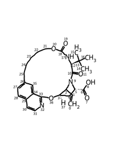 C=CC1[C@H]2C[C@@H](C(=O)O)N1C(=O)[C@H](C(C)(C)C)NC(=O)OCCCCCc1ccc3ccnc(c3c1)O2